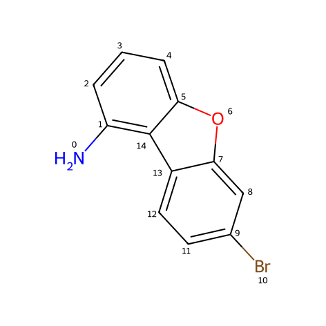 Nc1cccc2oc3cc(Br)ccc3c12